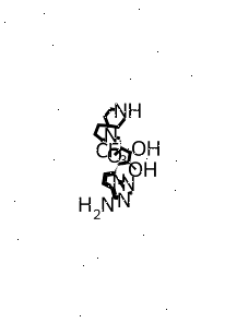 Nc1ncnn2c([C@@H]3O[C@H](CN4C(C(F)(F)F)CCC45CCNCC5)[C@@H](O)[C@H]3O)ccc12